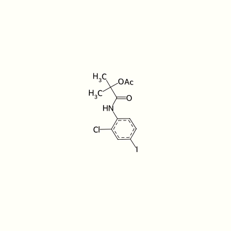 CC(=O)OC(C)(C)C(=O)Nc1ccc(I)cc1Cl